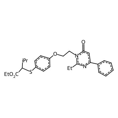 CCOC(=O)C(Sc1ccc(OCCn2c(CC)nc(-c3ccccc3)cc2=O)cc1)C(C)C